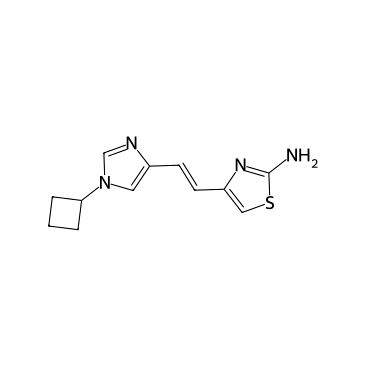 Nc1nc(C=Cc2cn(C3CCC3)cn2)cs1